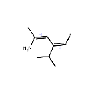 C/C=C(\C=C(\C)N)C(C)C